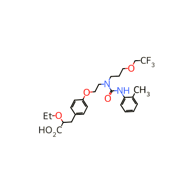 CCOC(Cc1ccc(OCCN(CCCOCC(F)(F)F)C(=O)Nc2ccccc2C)cc1)C(=O)O